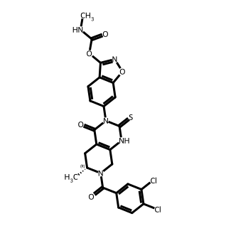 CNC(=O)Oc1noc2cc(-n3c(=S)[nH]c4c(c3=O)C[C@@H](C)N(C(=O)c3ccc(Cl)c(Cl)c3)C4)ccc12